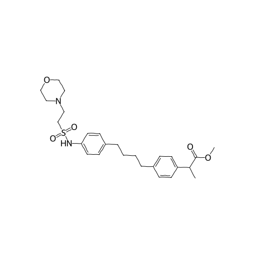 COC(=O)C(C)c1ccc(CCCCc2ccc(NS(=O)(=O)CCN3CCOCC3)cc2)cc1